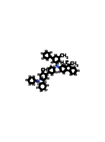 CC1C=C(N(c2ccc(C3=Cc4c5c(n(-c6ccccc6)c4CC3C)CCCC5)cc2)c2ccc3c(c2)C(C)(C)c2ccccc2-3)C=C(c2ccccc2)C1